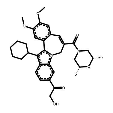 COc1cc2c(cc1OC)-c1c(C3CCCCC3)c3ccc(C(=O)CO)cc3n1CC(C(=O)N1C[C@@H](C)O[C@@H](C)C1)=C2